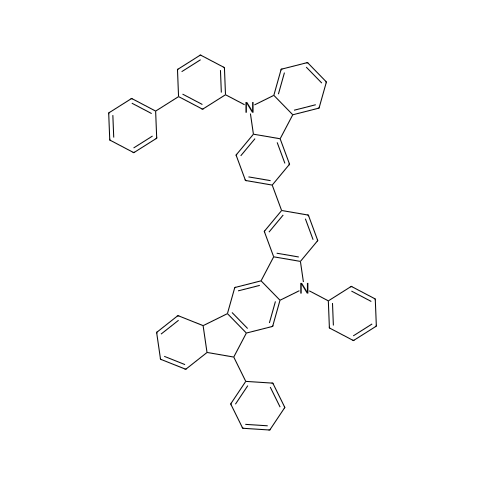 C1=CC2c3cc4c5cc(-c6ccc7c(c6)c6ccccc6n7-c6cccc(-c7ccccc7)c6)ccc5n(-c5ccccc5)c4cc3C(c3ccccc3)C2C=C1